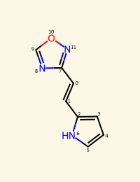 C(=C\c1ccc[nH]1)/c1ncon1